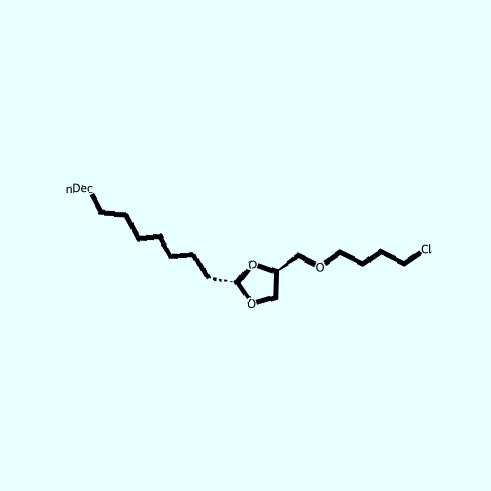 CCCCCCCCCCCCCCCCC[C@H]1OC[C@H](COCCCCCl)O1